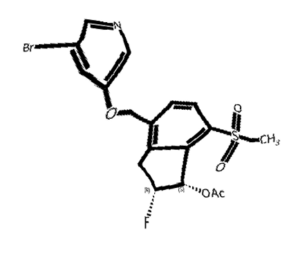 CC(=O)O[C@H]1c2c(S(C)(=O)=O)ccc(Oc3cncc(Br)c3)c2C[C@H]1F